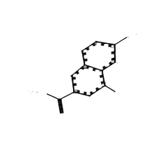 COC(=O)c1cc(O)c2cc(F)ccc2c1